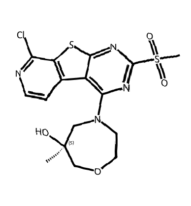 C[C@@]1(O)COCCN(c2nc(S(C)(=O)=O)nc3sc4c(Cl)nccc4c23)C1